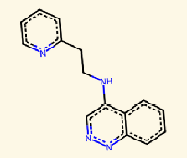 c1ccc(CCNc2cnnc3ccccc23)nc1